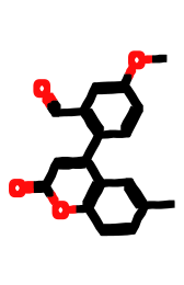 COc1ccc(-c2cc(=O)oc3ccc(C)cc23)c(C=O)c1